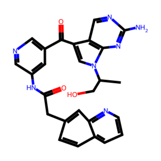 CC(CO)n1cc(C(=O)c2cncc(NC(=O)Cc3ccc4cccnc4c3)c2)c2cnc(N)nc21